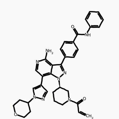 C=CC(=O)N1CCC[C@@H](n2nc(-c3ccc(C(=O)Nc4ccccc4)cc3)c3c(N)ncc(-c4cnn(C5CCOCC5)c4)c32)C1